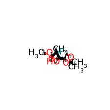 CCOC(=O)C(C)(F)[C@H](O)[C@H]1COC(C)(C)O1